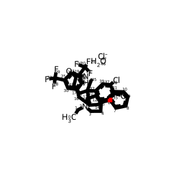 CC[N+]12CCC(c3ccccc3)(CC1)CC2(Cc1cc(C(F)(F)F)cc(C(F)(F)F)c1)C1(c2ccc(Cl)c(Cl)c2)CCC(=O)NC1.O.[Cl-]